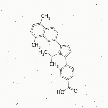 Cc1ccc(C)c2cc(-c3ccc(-c4ccc(C(=O)O)cc4)n3C(C)C)ccc12